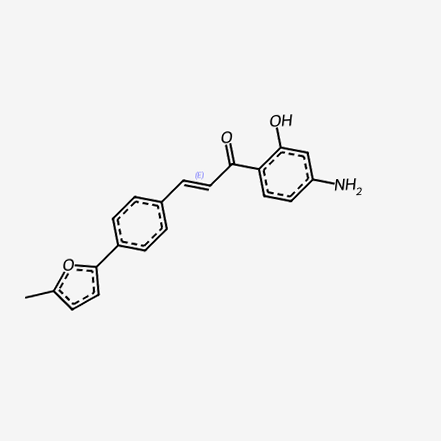 Cc1ccc(-c2ccc(/C=C/C(=O)c3ccc(N)cc3O)cc2)o1